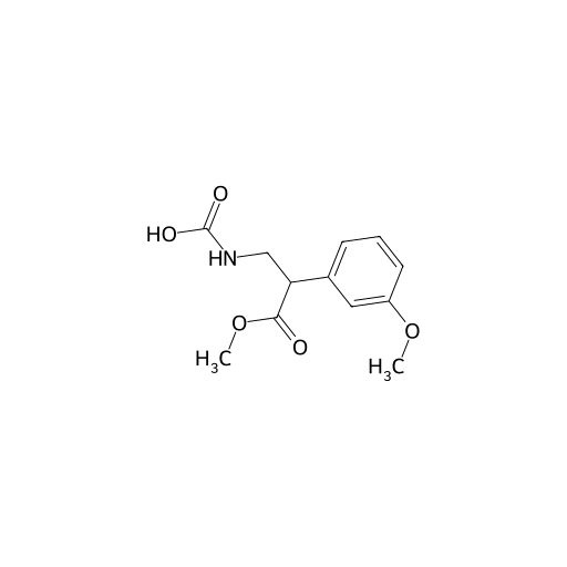 COC(=O)C(CNC(=O)O)c1cccc(OC)c1